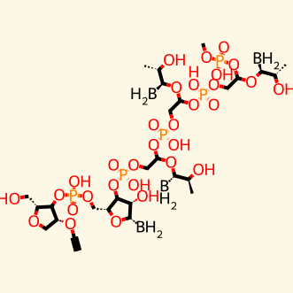 B[C@H](OC(COP(=O)(O)OC(COP(=O)(O)OC(COP(=O)(O)OC1[C@@H](COP(=O)(O)OC2[C@H](OC#C)CO[C@@H]2CO)O[C@@H](B)[C@H]1O)O[C@@H](B)[C@H](C)O)O[C@@H](B)[C@H](C)O)OP(=O)(O)OC)[C@H](C)O